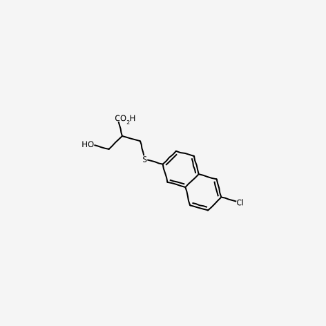 O=C(O)C(CO)CSc1ccc2cc(Cl)ccc2c1